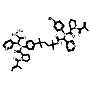 C=C(C)C(=O)N1CCCC1C(=O)N(c1ccc(C(C)(C)C)cc1)C(C(=O)NC(C)(C)CCC(C)(C)c1ccc(N(C(=O)C2CCCN2C(=O)/C(C)=C/C)C(C(=O)NC(C)(C)C)c2cccnc2)cc1)c1cccnc1